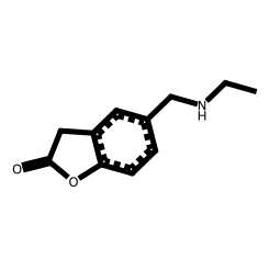 CCNCc1ccc2c(c1)CC(=O)O2